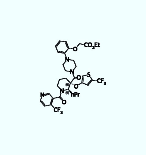 CCC[C@H]1N(C(=O)c2cnccc2C(F)(F)F)CCC[C@@]1(Oc1csc(C(F)(F)F)c1)C(=O)N1CCN(c2ccccc2OCC(=O)OCC)CC1